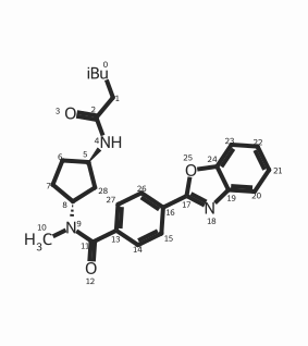 CCC(C)CC(=O)N[C@@H]1CC[C@@H](N(C)C(=O)c2ccc(-c3nc4ccccc4o3)cc2)C1